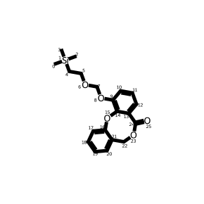 C[Si](C)(C)CCOCOc1cccc2c1Oc1ccccc1COC2=O